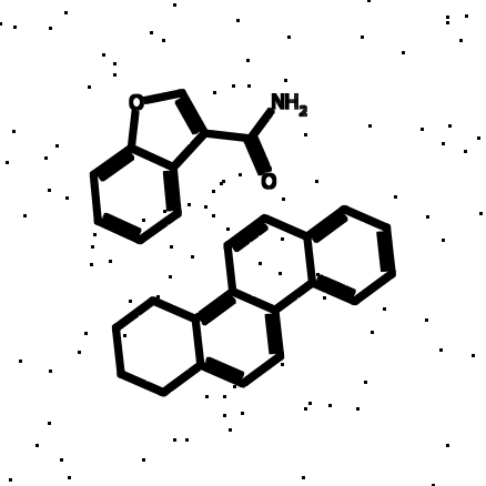 NC(=O)c1coc2ccccc12.c1ccc2c(c1)ccc1c3c(ccc12)CCCC3